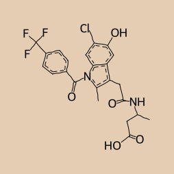 Cc1c(CC(=O)NC(C)CC(=O)O)c2cc(O)c(Cl)cc2n1C(=O)c1ccc(C(F)(F)F)cc1